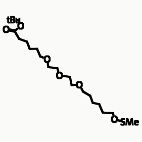 CSOCCCCCCOCCOCCOCCCCCC(=O)OC(C)(C)C